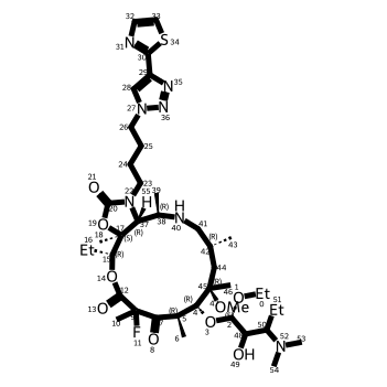 CCO[C@@H](O[C@@H]1[C@@H](C)C(=O)C(C)(F)C(=O)O[C@H](CC)[C@@]2(C)OC(=O)N(CCCCn3cc(-c4nccs4)nn3)[C@@H]2[C@@H](C)NC[C@H](C)C[C@@]1(C)OC)C(O)C(CC)N(C)C